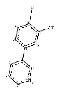 Clc1cc(-c2cc[c]nc2)ccc1I